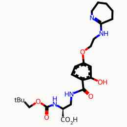 CC(C)(C)COC(=O)N[C@@H](CNC(=O)c1ccc(OCCNC2=NCCCCC2)cc1O)C(=O)O